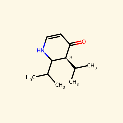 CC(C)C1NC=CC(=O)[C@H]1C(C)C